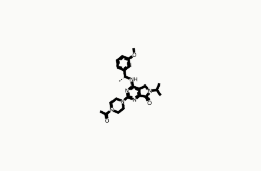 COc1cccc([C@@H](C)Nc2nc(N3CCN(C(C)=O)CC3)nc3c2CN(C(C)C)C3=O)c1